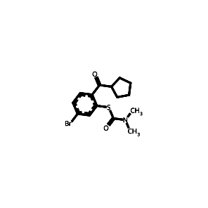 CN(C)C(=O)Sc1cc(Br)ccc1C(=O)C1CCCC1